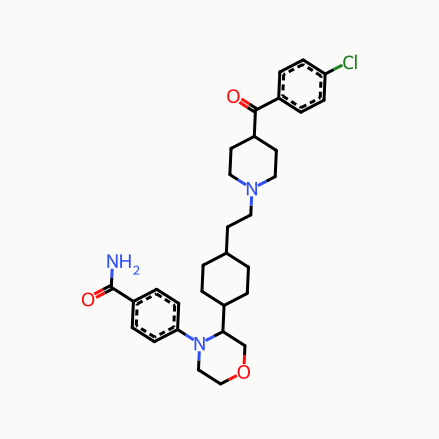 NC(=O)c1ccc(N2CCOCC2C2CCC(CCN3CCC(C(=O)c4ccc(Cl)cc4)CC3)CC2)cc1